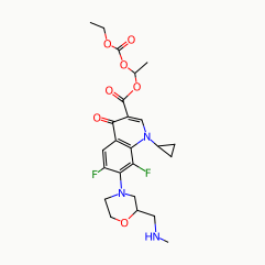 CCOC(=O)OC(C)OC(=O)c1cn(C2CC2)c2c(F)c(N3CCOC(CNC)C3)c(F)cc2c1=O